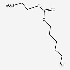 CCCCCCCCCCOC(=O)OCCCCCC(C)C